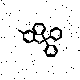 Cc1ccc(OC(c2ccccc2)(c2ccccc2)c2ccccc2)cc1